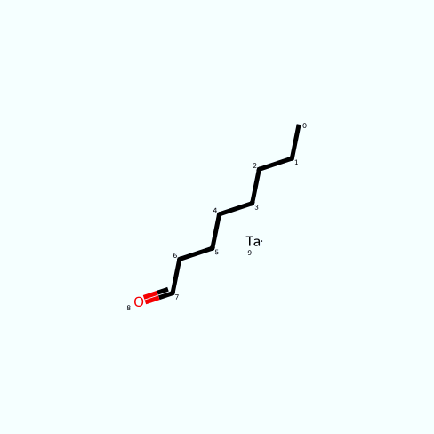 CCCCCCCC=O.[Ta]